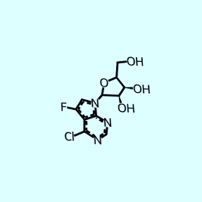 OCC1OC(n2cc(F)c3c(Cl)ncnc32)[C@H](O)[C@@H]1O